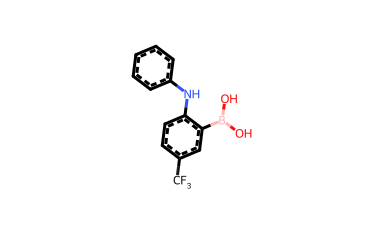 OB(O)c1cc(C(F)(F)F)ccc1Nc1ccccc1